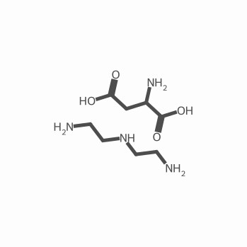 NC(CC(=O)O)C(=O)O.NCCNCCN